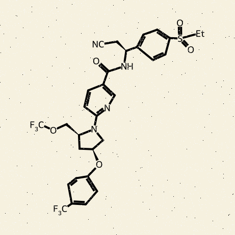 CCS(=O)(=O)c1ccc([C@H](CC#N)NC(=O)c2ccc(N3C[C@@H](Oc4ccc(C(F)(F)F)cc4)C[C@H]3COC(F)(F)F)nc2)cc1